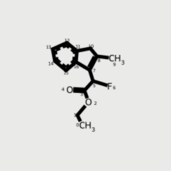 CCOC(=O)C(F)C1=C(C)Cc2ccccc21